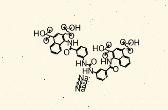 O=C(Nc1cccc(C(=O)Nc2c(S(=O)(=O)O)cc(S(=O)(=O)O)c3ccccc23)c1)Nc1cccc(C(=O)Nc2c(S(=O)(=O)O)cc(S(=O)(=O)O)c3ccccc23)c1.[Na].[Na].[Na].[Na]